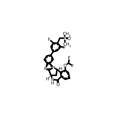 CP(C)(=O)Cc1c(F)cc(-c2ccc3nc4n(c3c2)[C@@H]2C[C@H]4NC(=O)c3cccc(OC(F)F)c32)cc1F